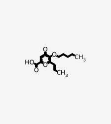 C/C=C/c1oc(C(=O)O)cc(=O)c1OCCCCC